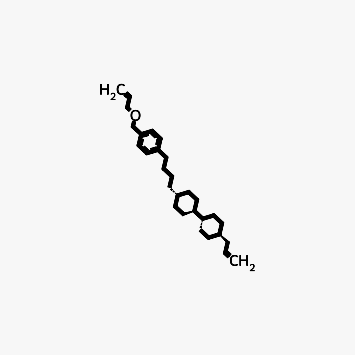 C=CCOCc1ccc(CCCC[C@H]2CC[C@H]([C@H]3CC[C@H](CC=C)CC3)CC2)cc1